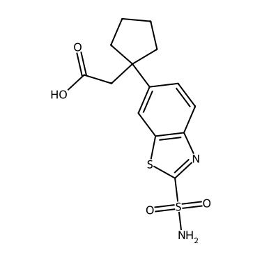 NS(=O)(=O)c1nc2ccc(C3(CC(=O)O)CCCC3)cc2s1